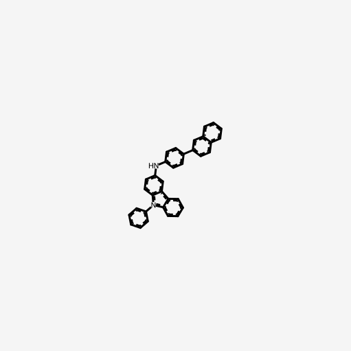 c1ccc(-n2c3ccccc3c3cc(Nc4ccc(-c5ccc6ccccc6c5)cc4)ccc32)cc1